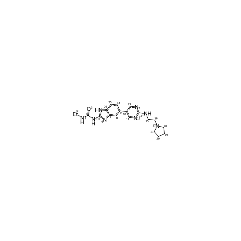 CCNC(=O)Nc1nc2cc(-c3cnc(NCCN4CCCC4)nc3)ccc2[nH]1